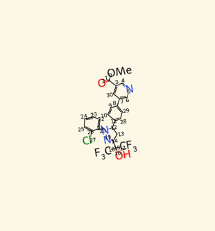 COC(=O)c1cncc(-c2ccc(C3CC(C(O)(C(F)(F)F)C(F)(F)F)=NN3c3ccccc3Cl)cc2)c1